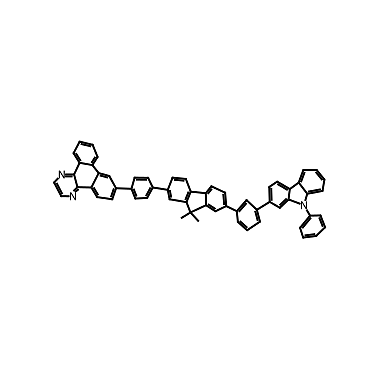 CC1(C)c2cc(-c3ccc(-c4ccc5c(c4)c4ccccc4c4nccnc54)cc3)ccc2-c2ccc(-c3cccc(-c4ccc5c6ccccc6n(-c6ccccc6)c5c4)c3)cc21